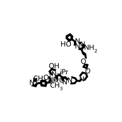 CC(C)[C@@H](C(=O)N1C[C@H](O)C[C@H]1C(=O)N[C@@H](C)c1ccc(-c2ccnn2C)cc1)c1cc(N2CCC(CN3CCC(O[C@H]4C[C@H](OCC#Cc5cn6cc(-c7ccccc7O)nc6nc5N)C4)CC3)CC2)no1